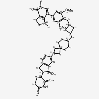 COc1cc(-c2cn(C)c(=O)c3c2N(C)CC3)cc(OC)c1CN1CC(CN2CCC3(CC2)CN(c2ccc4c(c2)C(=O)N(C2CCC(=O)NC2=O)C4)C3)C1